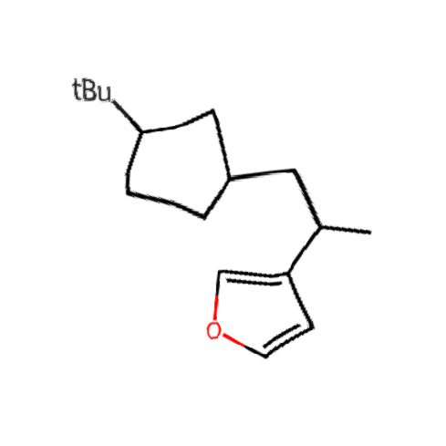 CC(CC1CCC(C(C)(C)C)C1)c1ccoc1